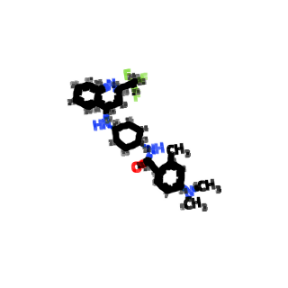 Cc1cc(N(C)C)ccc1C(=O)N[C@H]1CC[C@@H](Nc2cc(C(F)(F)F)nc3ccccc23)CC1